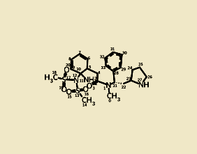 CN(C(=O)CC1C=CC=CC1(N)N(S(C)(=O)=O)S(C)(=O)=O)[C@@H](CC1CCCN1)c1ccccc1